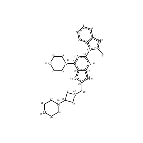 Cc1nc2ccccc2n1-c1nc(N2CCOCC2)c2sc(CN3CC(N4CCOCC4)C3)nc2n1